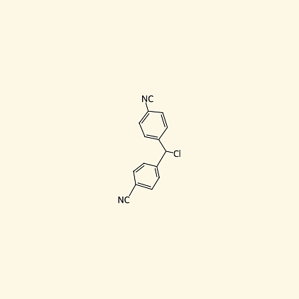 [C-]#[N+]c1ccc(C(Cl)c2ccc(C#N)cc2)cc1